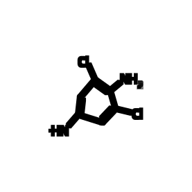 [NH]c1cc(Cl)c(N)c(Cl)c1